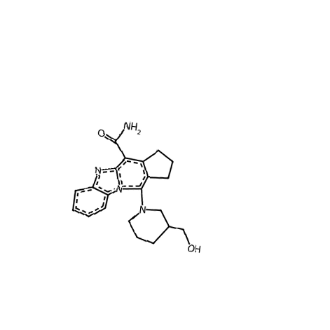 NC(=O)c1c2c(c(N3CCCC(CO)C3)n3c1nc1ccccc13)CCC2